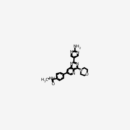 CNC(=O)c1ccc(-c2cnc3c(N4CCOCC4)nc(-c4cnc(N)nc4)nc3c2)cc1